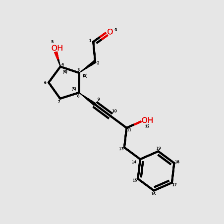 O=CC[C@@H]1[C@H](O)CC[C@@H]1C#CC(O)Cc1ccccc1